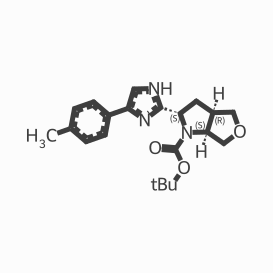 Cc1ccc(-c2c[nH]c([C@@H]3C[C@H]4COC[C@H]4N3C(=O)OC(C)(C)C)n2)cc1